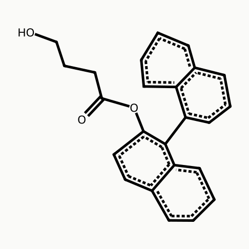 O=C(CCCO)Oc1ccc2ccccc2c1-c1cccc2ccccc12